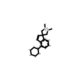 COCC1(COC)C=Cc2c(C3CCCCC3)cccc21